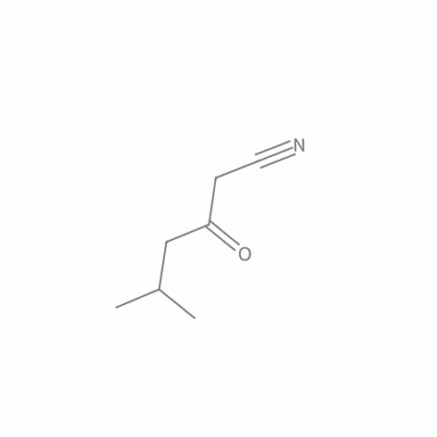 CC(C)CC(=O)CC#N